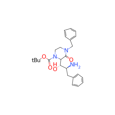 CC(C)(C)OC(=O)N1CCN(Cc2ccccc2)C(=O)C1[C@@H](O)[C@@H](N)Cc1ccccc1